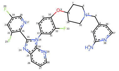 Nc1cc(CN2CCC(Oc3ccc(-n4c(-c5ncc(F)cc5F)nc5cccnc54)cc3F)CC2)ccn1